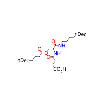 CCCCCCCCCCCCCCNC(=O)C(COC(=O)CCCCCCCCCCCCC)NC(=O)CCC(=O)O